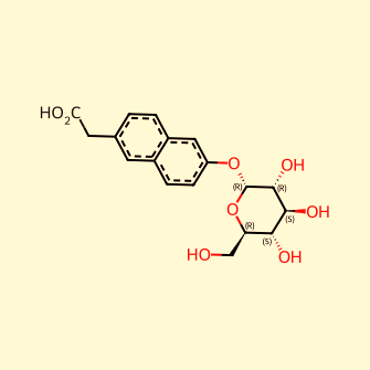 O=C(O)Cc1ccc2cc(O[C@H]3O[C@H](CO)[C@@H](O)[C@H](O)[C@H]3O)ccc2c1